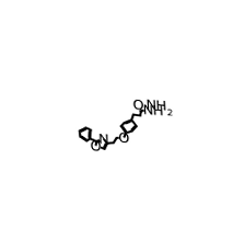 NNC(=O)CCc1ccc(OCCc2coc(-c3ccccc3)n2)cc1